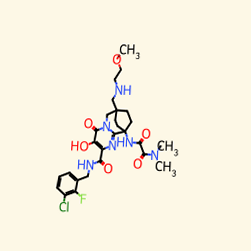 COCCNCC12CCC(NC(=O)C(=O)N(C)C)(CC1)c1nc(C(=O)NCc3cccc(Cl)c3F)c(O)c(=O)n1C2